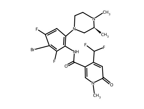 C[C@H]1CN(c2cc(F)c(Br)c(F)c2NC(=O)c2cn(C)c(=O)cc2C(F)F)CCN1C